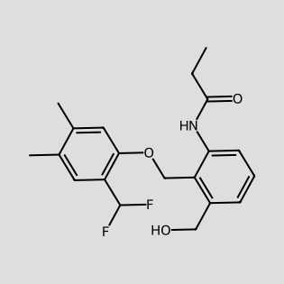 CCC(=O)Nc1cccc(CO)c1COc1cc(C)c(C)cc1C(F)F